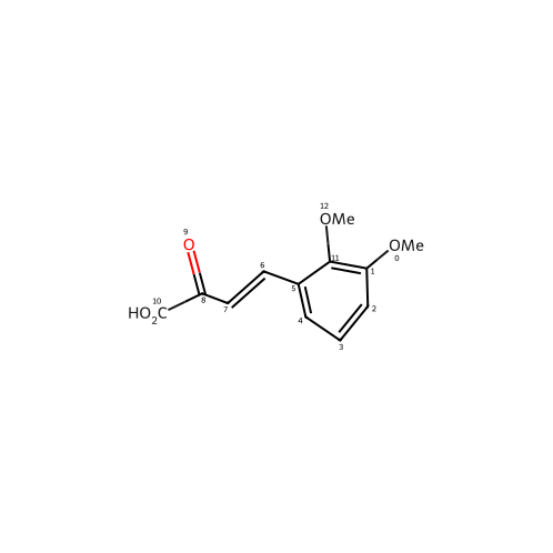 COc1cccc(/C=C/C(=O)C(=O)O)c1OC